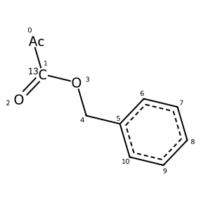 [13CH3]C(=O)[13C](=O)OCc1ccccc1